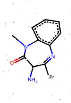 CC(C)C1=Nc2ccccc2N(C)C(=O)C1N